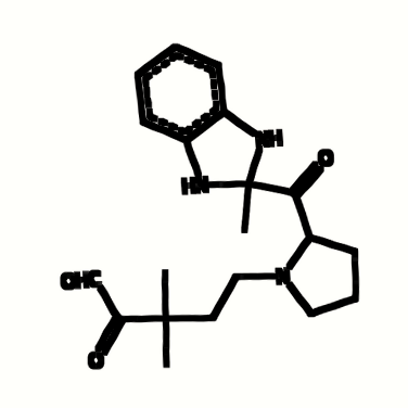 CC(C)(CCN1CCCC1C(=O)C1(C)Nc2ccccc2N1)C(=O)C=O